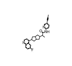 CC#Cc1ccc(NC(=O)C(C)C2CC3CC(c4ccnc5ccc(F)cc45)CC3C2)nc1